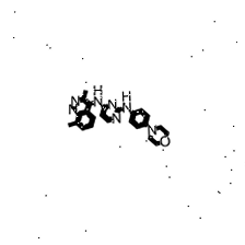 Cc1nnc2c(C)cccc2c1Nc1ccnc(Nc2ccc(N3CCOCC3)cc2)n1